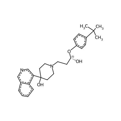 CC(C)(C)c1ccc(O[C@H](O)CCN2CCC(O)(c3cncc4ccccc34)CC2)cc1